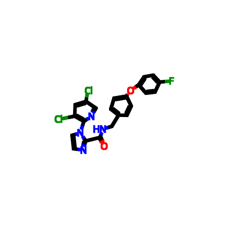 O=C(NCc1ccc(Oc2ccc(F)cc2)cc1)c1nccn1-c1ncc(Cl)cc1Cl